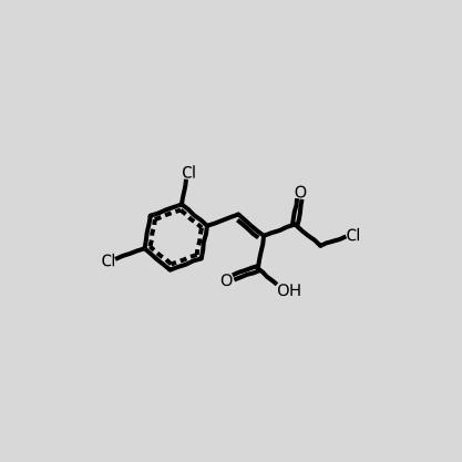 O=C(O)C(=Cc1ccc(Cl)cc1Cl)C(=O)CCl